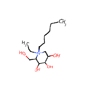 CCCCCC[N+]1(CC)CC(O)C(O)C(O)C1CO